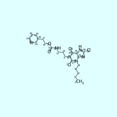 CCCCCn1c(=O)n(CCCNC(=O)OCCc2cccnc2)c(=O)c2[nH]c(Cl)nc21